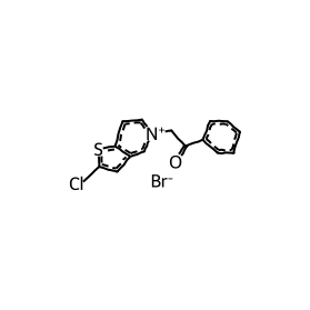 O=C(C[n+]1ccc2sc(Cl)cc2c1)c1ccccc1.[Br-]